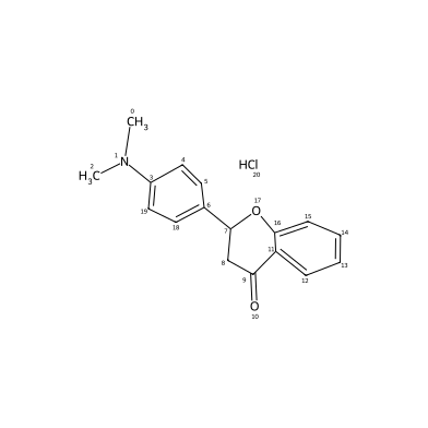 CN(C)c1ccc(C2CC(=O)c3ccccc3O2)cc1.Cl